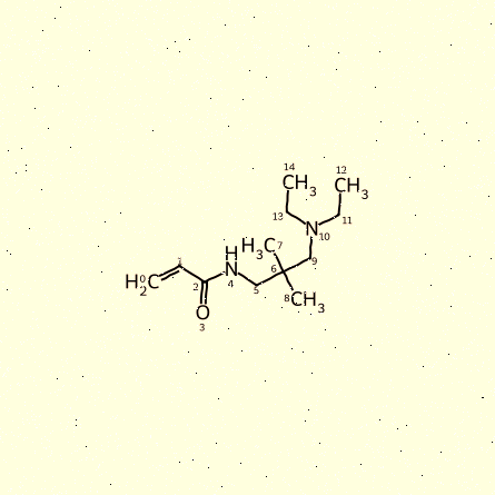 C=CC(=O)NCC(C)(C)CN(CC)CC